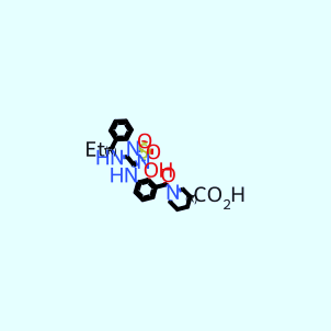 CC[C@@H](NC1=NS(=O)(=O)N=C1Nc1cccc(C(=O)N2CCC[C@@H](C(=O)O)C2)c1O)c1ccccc1